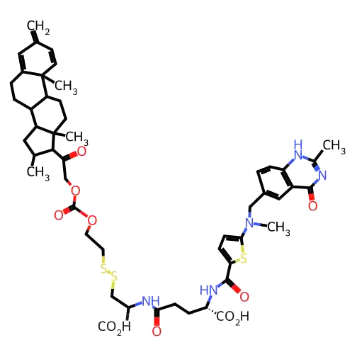 C=C1C=CC2(C)C(=C1)CCC1C2CCC2(C)C1CC(C)C2C(=O)COC(=O)OCCSSCC(NC(=O)CC[C@H](NC(=O)c1ccc(N(C)Cc2ccc3[nH]c(C)nc(=O)c3c2)s1)C(=O)O)C(=O)O